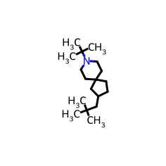 CC(C)(C)CC1CCC2(CCN(C(C)(C)C)CC2)C1